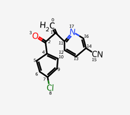 C=C(C(=O)c1ccc(Cl)cc1)c1ccc(C#N)cn1